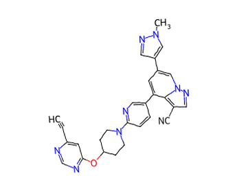 C#Cc1cc(OC2CCN(c3ccc(-c4cc(-c5cnn(C)c5)cn5ncc(C#N)c45)cn3)CC2)ncn1